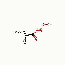 CC/C(=C\C(=O)O)C(=O)OOOC(C)(C)C